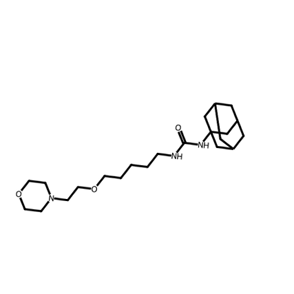 O=C(NCCCCCOCCN1CCOCC1)NC12CC3CC(CC(C3)C1)C2